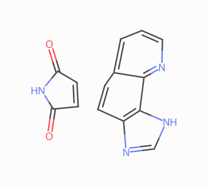 O=C1C=CC(=O)N1.c1cnc2c(c1)ccc1nc[nH]c12